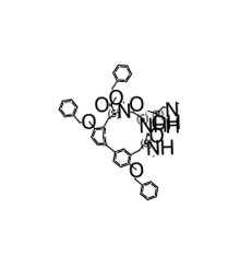 CNC[C@H](O)C[C@@H]1NC(=O)[C@@H](NC)Cc2cc(ccc2OCc2ccccc2)-c2ccc(OCc3ccccc3)c(c2)C[C@@H](C(=O)OCc2ccccc2)N(C)C1=O